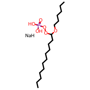 CCCCCCCCCCCC(OCCCCCC)OOP(=O)(O)O.[NaH]